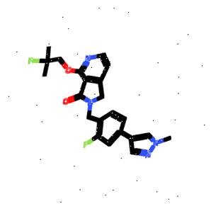 Cn1cc(-c2ccc(CN3Cc4ccnc(OCC(C)(C)F)c4C3=O)c(F)c2)cn1